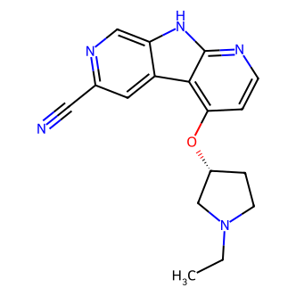 CCN1CC[C@@H](Oc2ccnc3[nH]c4cnc(C#N)cc4c23)C1